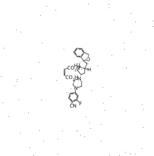 N#Cc1ccc(N2CCN([C@@H]3C[C@@H]4C[C@@]5(C[C@@H]4C3)OCc3ccccc35)CC2)cc1F.O=C(O)/C=C\C(=O)O